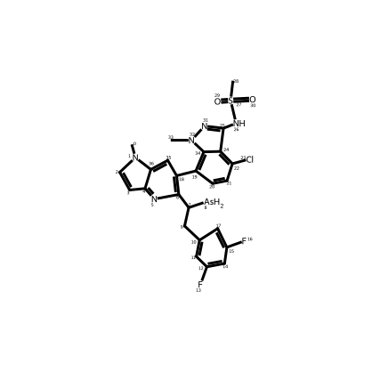 Cn1ccc2nc(C([AsH2])Cc3cc(F)cc(F)c3)c(-c3ccc(Cl)c4c(NS(C)(=O)=O)nn(C)c34)cc21